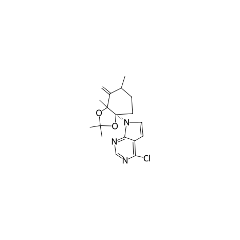 C=C1C(C)CC[C@@]2(n3ccc4c(Cl)ncnc43)OC(C)(C)OC12C